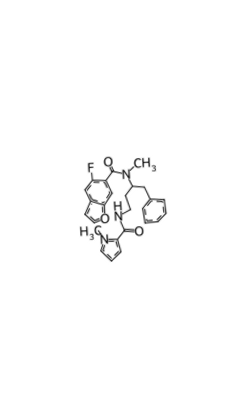 CN(C(=O)c1cc2occc2cc1F)C(CCNC(=O)c1cccn1C)Cc1ccccc1